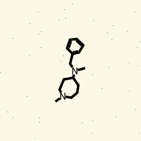 CN1CCCC(N(C)Cc2ccccc2)CC1